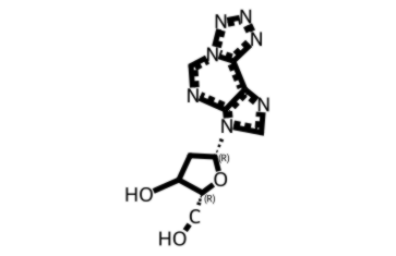 OC[C@H]1O[C@@H](n2cnc3c2ncn2nnnc32)CC1O